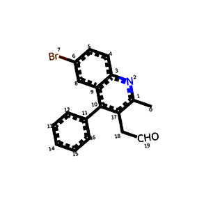 Cc1nc2ccc(Br)cc2c(-c2ccccc2)c1CC=O